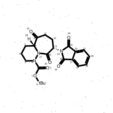 CC(C)(C)OC(=O)N1CCC[C@@H]2C(=O)CC[C@H](N3C(=O)c4ccccc4C3=O)C(=O)N21